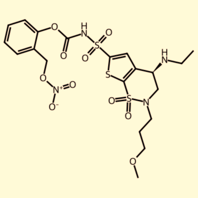 CCN[C@H]1CN(CCCOC)S(=O)(=O)c2sc(S(=O)(=O)NC(=O)Oc3ccccc3CO[N+](=O)[O-])cc21